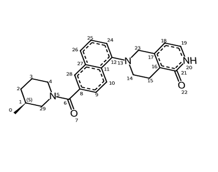 C[C@H]1CCCN(C(=O)c2ccc3c(N4CCc5c(cc[nH]c5=O)C4)cccc3c2)C1